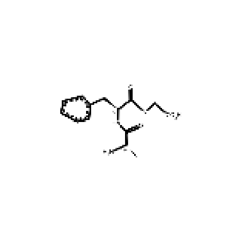 C[C@H](N)C(=O)N[C@@H](Cc1ccccc1)C(=O)NCC(=O)O